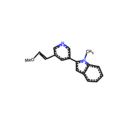 CO/C=C/c1cncc(-c2cc3ccccc3n2C)c1